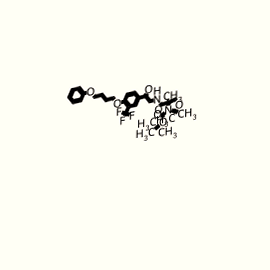 CC(C)(C)OC(=O)N1C(C)(C)OC[C@]1(C)C(=O)NCC(=O)c1ccc(OCCCCOc2ccccc2)c(C(F)(F)F)c1